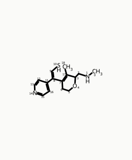 CNCC1OCCC(/C(=C\S)c2ccncc2)=C1C